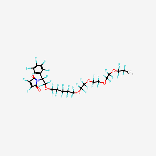 O=C1C(F)=C(F)C(=O)N1C(F)(c1c(F)c(F)c(F)c(F)c1F)C(F)(F)OC(F)(F)C(F)(F)C(F)(F)C(F)(F)C(F)(F)OC(F)(F)C(F)(F)OC(F)(F)C(F)(F)OC(F)(F)C(F)(F)OC(F)(F)C(F)(F)C(F)(F)F